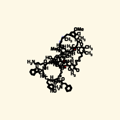 COc1cc2cc(c1Cl)N(C)C(=O)CC1(OC(=O)[C@H](C)N(C)C(=O)CCSSC[C@H](NC(=O)[C@H](C)NC(=O)[C@H](C)NC(=O)[C@@H](NC(=O)[C@@H]3CSSC[C@H](NC(=O)[C@H](N)Cc4ccccc4)C(=O)N[C@@H](Cc4ccc(O)cc4)CN[C@H](Cc4c[nH]c5ccccc45)C(=O)N[C@@H](CCCCN)C(=O)N[C@@H]([C@@H](C)O)C(=O)N3)[C@@H](C)O)C(N)=O)O[C@@H]([C@H](C)[C@@H]3C[C@@](O)(NC(=O)O3)[C@H](OC)/C=C/C=C(\C)C2)[C@@H]1C